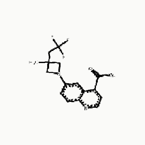 CC1(CC(F)(F)F)CN(c2ccc3nccc(C(=O)O)c3c2)C1